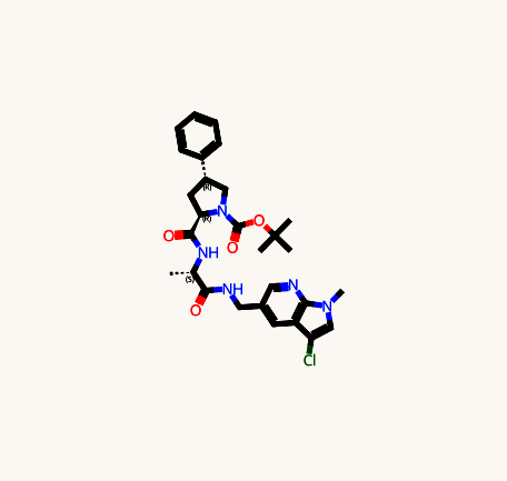 C[C@H](NC(=O)[C@H]1C[C@H](c2ccccc2)CN1C(=O)OC(C)(C)C)C(=O)NCc1cnc2c(c1)c(Cl)cn2C